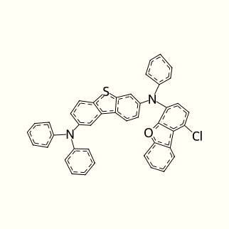 Clc1ccc(N(c2ccccc2)c2ccc3c(c2)sc2ccc(N(c4ccccc4)c4ccccc4)cc23)c2oc3ccccc3c12